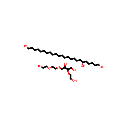 OCCCCCCCCCCCCCCCCCCC(O)CCCCCO.OCCOCCOCC(O)C(CO)OCCO